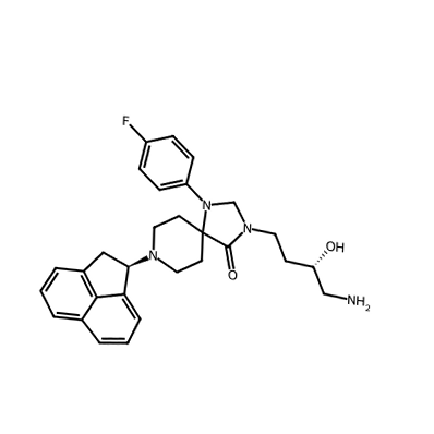 NC[C@@H](O)CCN1CN(c2ccc(F)cc2)C2(CCN([C@@H]3Cc4cccc5cccc3c45)CC2)C1=O